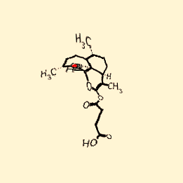 CC1=C(OC(=O)CCC(=O)O)O[C@@H]2O[C@]3(C)CCC4[C@H](C)CC[C@@H]1[C@]42OO3